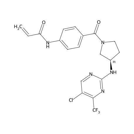 C=CC(=O)Nc1ccc(C(=O)N2CC[C@@H](Nc3ncc(Cl)c(C(F)(F)F)n3)C2)cc1